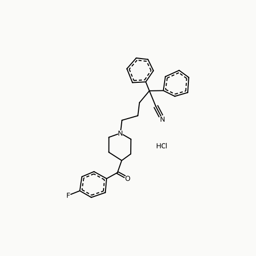 Cl.N#CC(CCCN1CCC(C(=O)c2ccc(F)cc2)CC1)(c1ccccc1)c1ccccc1